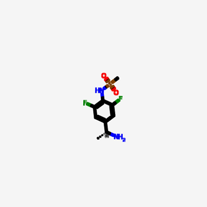 C[C@@H](N)c1cc(F)c(NS(C)(=O)=O)c(F)c1